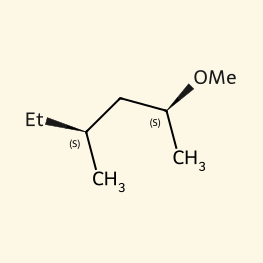 CC[C@H](C)C[C@H](C)OC